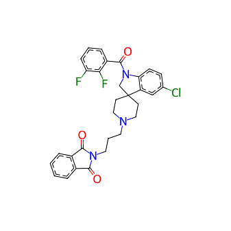 O=C1c2ccccc2C(=O)N1CCCN1CCC2(CC1)CN(C(=O)c1cccc(F)c1F)c1ccc(Cl)cc12